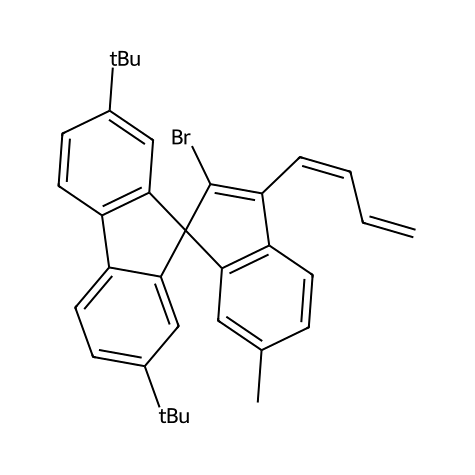 C=C/C=C\C1=C(Br)C2(c3cc(C)ccc31)c1cc(C(C)(C)C)ccc1-c1ccc(C(C)(C)C)cc12